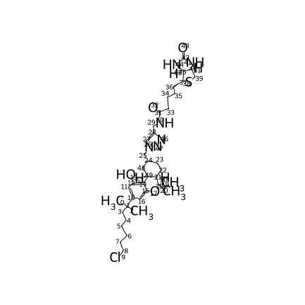 CC(C)(CCCCCCCl)c1cc(O)c2c(c1)OC(C)(C)[C@@H]1CC[C@@H](Cn3cc(CNC(=O)CCCC[C@@H]4SC[C@@H]5NC(=O)N[C@@H]54)nn3)C[C@@H]21